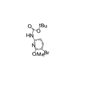 COc1nc(NC(=O)OC(C)(C)C)ccc1Br